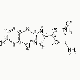 NCOC(S[PH2]=O)c1nc(Cc2ccc(Cl)cc2Cl)no1